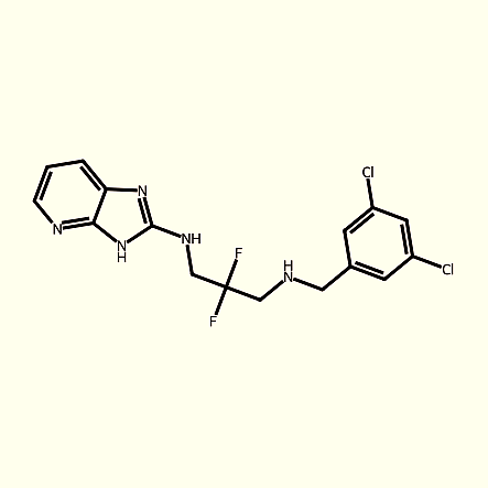 FC(F)(CNCc1cc(Cl)cc(Cl)c1)CNc1nc2cccnc2[nH]1